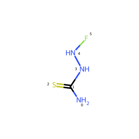 NC(=S)NNF